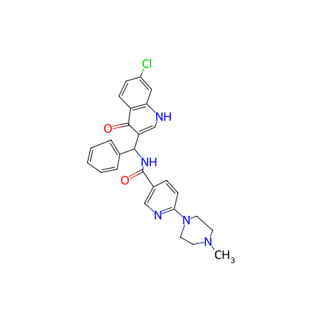 CN1CCN(c2ccc(C(=O)NC(c3ccccc3)c3c[nH]c4cc(Cl)ccc4c3=O)cn2)CC1